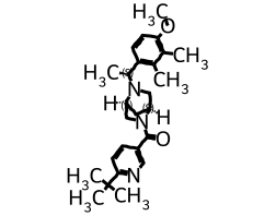 COc1ccc([C@H](C)N2C[C@@H]3C[C@H]2CN3C(=O)c2ccc(C(C)(C)C)nc2)c(C)c1C